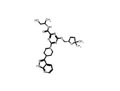 CC(CO)NC(=O)c1nc(OC[C@H]2CCC(C)(C)O2)nc(N2CCC(c3n[nH]c4ncccc34)CC2)n1